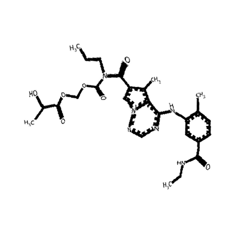 CCCN(C(=O)OCOC(=O)C(C)O)C(=O)c1cn2ncnc(Nc3cc(C(=O)NCC)ccc3C)c2c1C